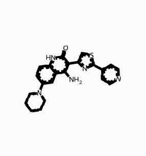 Nc1c(-c2csc(-c3ccncc3)n2)c(=O)[nH]c2ccc(N3CCCCC3)cc12